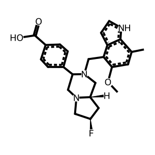 COc1cc(C)c2[nH]ccc2c1CN1C[C@@H]2C[C@@H](F)CN2CC1c1ccc(C(=O)O)cc1